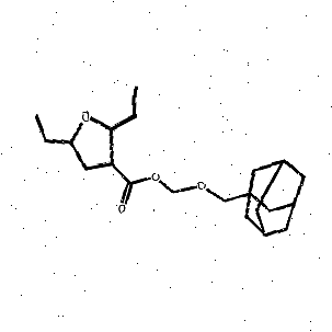 CCC1CC(C(=O)OCOCC23CC4CC(CC(C4)C2)C3)C(CC)O1